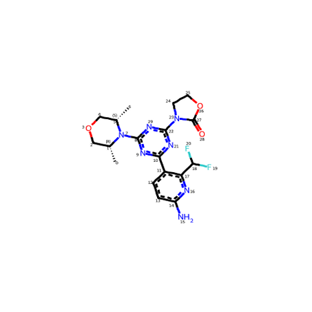 C[C@@H]1COC[C@H](C)N1c1nc(-c2ccc(N)nc2C(F)F)nc(N2CCOC2=O)n1